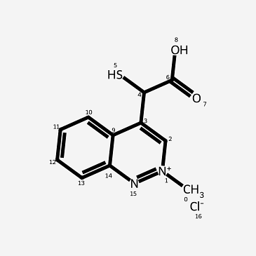 C[n+]1cc(C(S)C(=O)O)c2ccccc2n1.[Cl-]